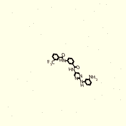 Nc1cccc(Nc2ncc(NC(=O)c3cccc(NC(=O)c4cccc(C(F)(F)F)c4)c3)cn2)c1